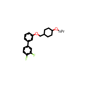 CCCOC1CCC(COc2[c]ccc(-c3ccc(F)c(F)c3)c2)CC1